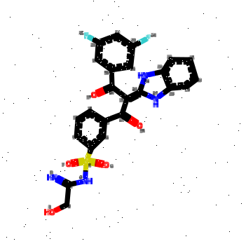 N=C(CO)NS(=O)(=O)c1cccc(C(=O)C(C(=O)c2cc(F)cc(F)c2)=C2Nc3ccccc3N2)c1